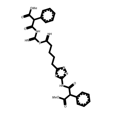 COC(=O)C(C(=O)NC(=N)SC(=N)CCCCc1nnc(NC(=O)C(C(=O)OC)c2ccccc2)s1)c1ccccc1